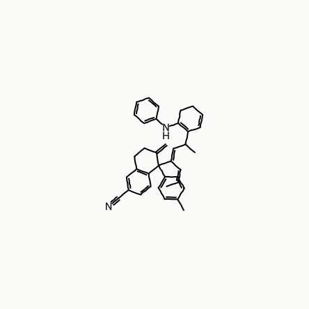 C=C1CCc2cc(C#N)ccc2C1(C(/C=C\C)=C/C(C)C1=C(Nc2ccccc2)CCC=C1)c1ccc(C)cc1